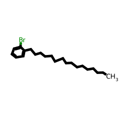 CCCCCCCCCCCCCCCCc1ccccc1Br